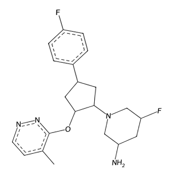 Cc1ccnnc1OC1CC(c2ccc(F)cc2)CC1N1CC(N)CC(F)C1